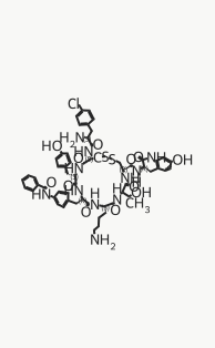 CC(O)C1NC(=O)[C@H](CCCCN)NC(=O)[C@@H](Cc2ccc(NC(=O)c3ccccc3)cc2)NC(=O)[C@H](Cc2ccc(O)cc2)NC(=O)[C@H](NC(=O)[C@@H](N)Cc2ccc(Cl)cc2)CSSC[C@@H](C(=O)N[C@H](Cc2ccc(O)cc2)C(N)=O)NC1=O